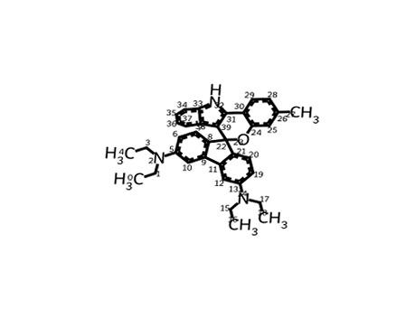 CCN(CC)c1ccc2c(c1)-c1cc(N(CC)CC)ccc1C21Oc2cc(C)ccc2-c2[nH]c3ccccc3c21